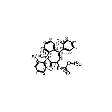 CC(=O)c1cccnc1[N+]1(C)C(=O)C(NC(=O)OC(C)(C)C)N=C(c2ccccc2F)c2ccccc21